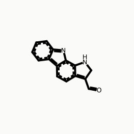 O=CC1=c2ccc3c(c2NC1)N=c1ccccc1=3